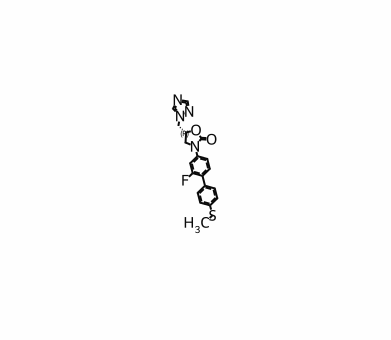 CSc1ccc(-c2ccc(N3C[C@H](Cn4cncn4)OC3=O)cc2F)cc1